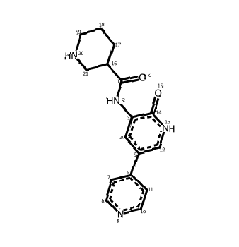 O=C(Nc1cc(-c2ccncc2)c[nH]c1=O)C1CCCNC1